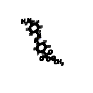 COOS(=O)(=O)c1ccc(/N=N/c2ccc(N)cc2)cc1